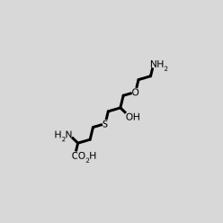 NCCOCC(O)CSCCC(N)C(=O)O